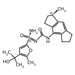 Cc1oc([S@](N)(=O)=NC(=O)Nc2c3c(cc4c2CC[C@H]4C)CCC3)cc1C(C)(C)O